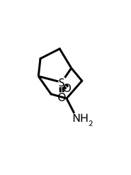 NC1CC2CCC(C1)S2(=O)=O